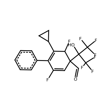 O=CC1(C(O)(C(F)(F)F)C(F)(F)F)C=C(F)C(c2ccccc2)=C(C2CC2)C1F